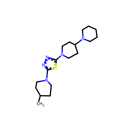 CC1CCN(c2nnc(N3CCC(N4CCCCC4)CC3)s2)CC1